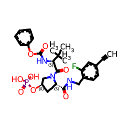 C#Cc1ccc(CNC(=O)[C@@H]2C[C@@H](OP(=O)(O)O)CN2C(=O)[C@@H](NC(=O)Oc2ccccc2)C(C)(C)C)c(F)c1